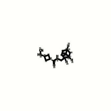 CC1(C)[C@@H]2CC[C@@H](CNC(=O)[C@H]3C[C@H](NC#N)C3)[C@H]1C2